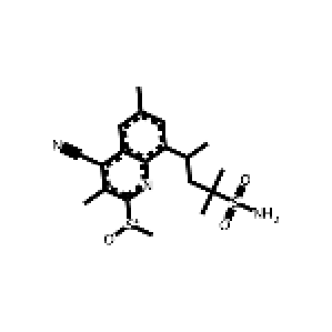 Cc1cc(C(C)CC(C)(C)S(N)(=O)=O)c2nc([S+](C)[O-])c(C)c(C#N)c2c1